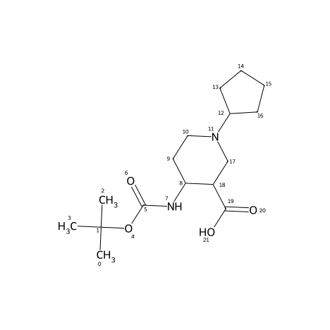 CC(C)(C)OC(=O)NC1CCN(C2CCCC2)CC1C(=O)O